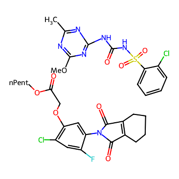 CCCCCOC(=O)COc1cc(N2C(=O)C3=C(CCCC3)C2=O)c(F)cc1Cl.COc1nc(C)nc(NC(=O)NS(=O)(=O)c2ccccc2Cl)n1